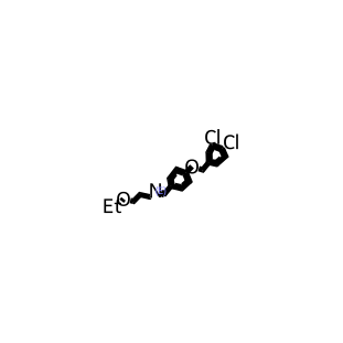 CCOCCC/N=C/c1ccc(OCc2ccc(Cl)c(Cl)c2)cc1